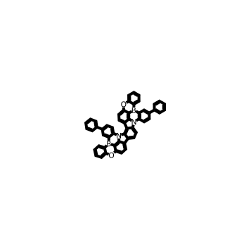 c1ccc(-c2ccc3c(c2)B2c4ccccc4Oc4ccc5c6c(ccc7c8ccc9c%10c8n(c76)-c6ccc(-c7ccccc7)cc6B%10c6ccccc6O9)n-3c5c42)cc1